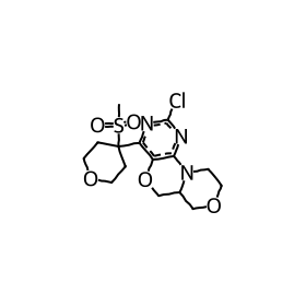 CS(=O)(=O)C1(c2nc(Cl)nc3c2OCC2COCCN32)CCOCC1